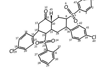 Cc1ccc(S(=O)(=O)C2C[C@H]3C(=O)CC(c4ccc(Cl)cc4)C(S(=O)(=O)c4ccccc4C)C3CC2c2ccc(Cl)cc2)cc1